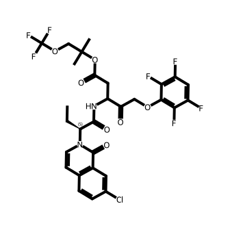 CC[C@@H](C(=O)NC(CC(=O)OC(C)(C)COC(F)(F)F)C(=O)COc1c(F)c(F)cc(F)c1F)n1ccc2ccc(Cl)cc2c1=O